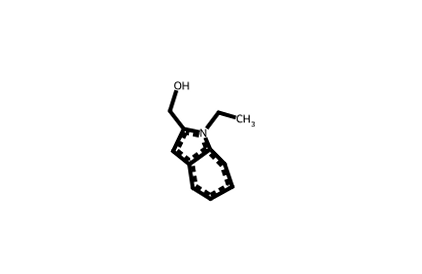 CCn1c(CO)cc2ccccc21